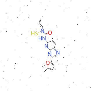 C=CCN(S)C(=O)Nc1ccc2ncc(-c3ccc(C)o3)nc2n1